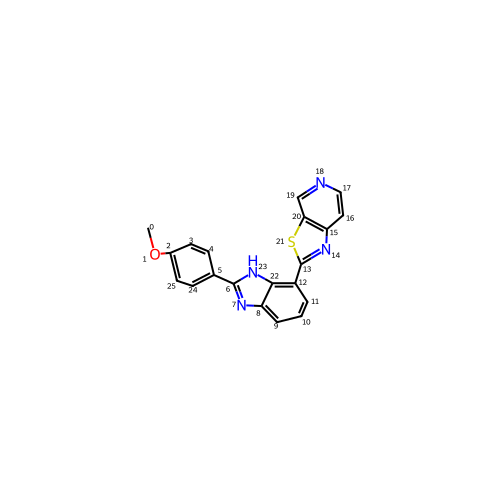 COc1ccc(-c2nc3cccc(-c4nc5ccncc5s4)c3[nH]2)cc1